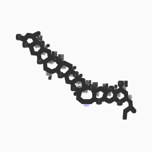 CCC(C)C[C@@H]1C[C@H](O)[C@]2(C)O[C@@H]3C[C@@H]4O[C@@H]5C[C@]6(C)O[C@]7(C)CC[C@@H]8O[C@@H]9C[C@]%10(C)O[C@@H]%11C(C)=CC(=O)OC%11CC%10OC9C[C@@H](C)C8OC7CC6O[C@@]5(C)C/C=C\C4OC3CC2O1